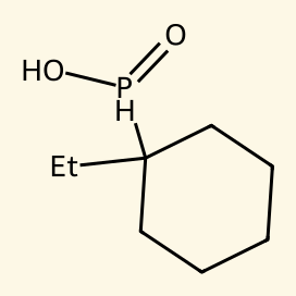 CCC1([PH](=O)O)CCCCC1